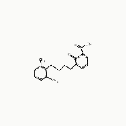 Cc1cccc(C)c1CCCCc1cccn(C(=O)O)c1=O